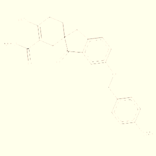 COC(=O)C1=C(O)CCC2(C1)Cc1ccc(OCc3ccc(OC)cc3)cc1C2=O